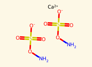 NOS(=O)(=O)[O-].NOS(=O)(=O)[O-].[Ca+2]